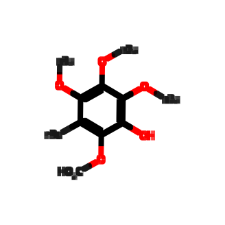 CCCCOc1c(O)c(OC(=O)O)c(CCCC)c(OCCCC)c1OCCCC